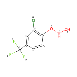 OBOc1ccc(C(F)(F)F)cc1Cl